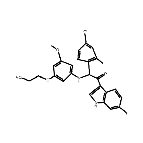 COc1cc(NC(C(=O)c2c[nH]c3cc(F)ccc23)c2ccc(Cl)cc2C)cc(OCCO)c1